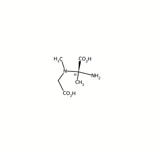 CN(CC(=O)O)[C@@](C)(N)C(=O)O